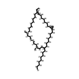 CCCCCCCCCCCN(C)CCSSCCN(C)CCC(CCCCCCCCC)CCCCCCCC1CC1CCCCCCCC